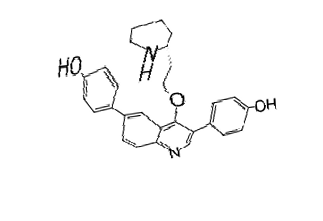 Oc1ccc(-c2ccc3ncc(-c4ccc(O)cc4)c(OCC[C@H]4CCCCN4)c3c2)cc1